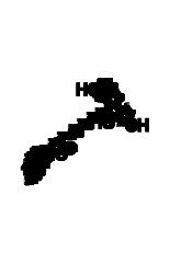 C[C@]12CCC3c4ccc(O)cc4[C@H](O)[C@@H](CCCCCCCCCC(CCCC(F)(F)C(F)(F)C(F)(F)C(F)(F)F)C(=O)O)C3C1C[C@@H](O)C21CC1